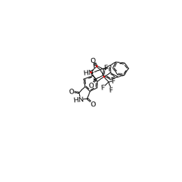 O=C1NC(=O)c2cc(C(c3c4cc5c(c3-c3ccc-4cc3)C(=O)NC5=O)(C(F)(F)F)C(F)(F)F)ccc21